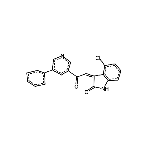 O=C1Nc2cccc(Cl)c2C1=CC(=O)c1cncc(-c2ccccc2)c1